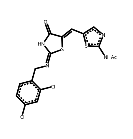 CC(=O)Nc1ncc(C=C2SC(=NCc3ccc(Cl)cc3Cl)NC2=O)s1